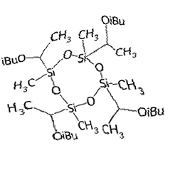 CC(C)COC(C)[Si]1(C)O[Si](C)(C(C)OCC(C)C)O[Si](C)(C(C)OCC(C)C)O[Si](C)(C(C)OCC(C)C)O1